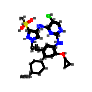 CC(=O)N[C@H]1CC[C@H](c2cc(OC3CC3)c(Nc3ncc(Cl)c(Nc4cn(C)nc4S(=O)(=O)C(C)C)n3)cc2C)CC1